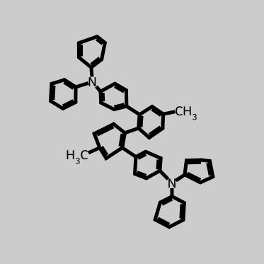 Cc1ccc(-c2ccc(C)cc2-c2ccc(N(c3ccccc3)c3ccccc3)cc2)c(-c2ccc(N(c3ccccc3)c3ccccc3)cc2)c1